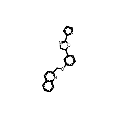 c1cc(OCc2ccc3ccccc3n2)cc(C2CN=C(c3cccs3)O2)c1